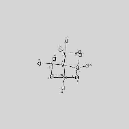 Cl[Si](Cl)(Cl)[Si]([Si](Cl)(Cl)Cl)([Si](Cl)(Cl)Cl)[Si](Cl)(Cl)Cl